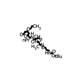 C=CCOc1cc([C@@H](CCC)NC(=O)C2(C)CSC(/C(C)=N/OCCCNC(=O)OC(C)(C)C)=N2)oc(=O)c1